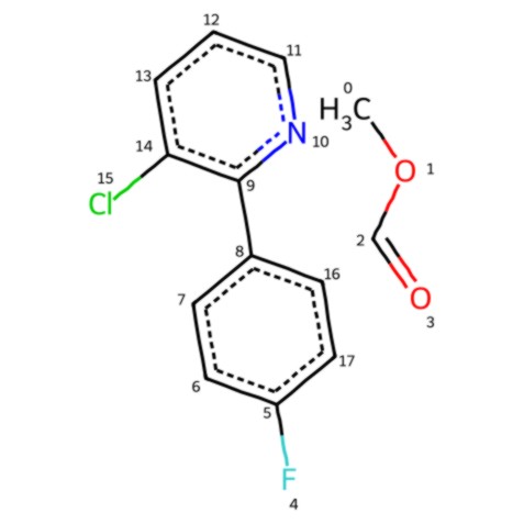 COC=O.Fc1ccc(-c2ncccc2Cl)cc1